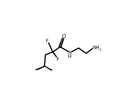 CC(C)CC(F)(F)C(=O)NCCN